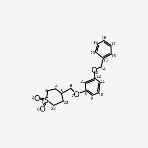 O=S1(=O)CCC(COc2cccc(OCc3ccccc3)c2)CC1